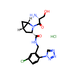 Cl.N[C@H](CO)C(=O)N1[C@H](C(=O)NCc2cc(Cl)ccc2-n2cnnn2)C[C@@H]2C[C@@H]21